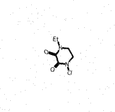 CCN1CCN(Cl)C(=O)C1=O